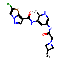 CC1CN(CC(=O)NC2=CNC(C)C(NC(=O)c3cnn4cc(Br)sc34)=C2)C1